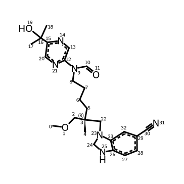 COC[C@](C)(CCCCN(C=O)c1cnc(C(C)(C)O)cn1)CN1CNc2ccc(C#N)cc21